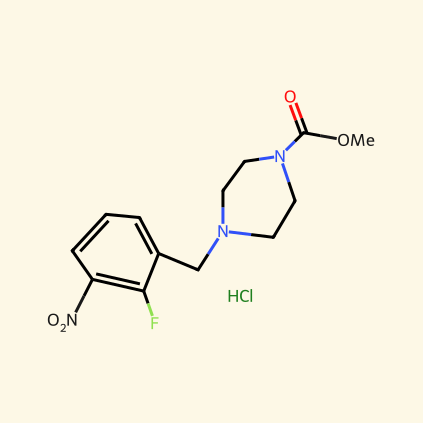 COC(=O)N1CCN(Cc2cccc([N+](=O)[O-])c2F)CC1.Cl